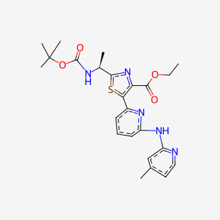 CCOC(=O)c1nc([C@H](C)NC(=O)OC(C)(C)C)sc1-c1cccc(Nc2cc(C)ccn2)n1